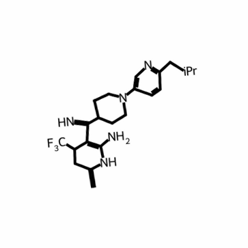 C=C1CC(C(F)(F)F)C(C(=N)C2CCN(c3ccc(CC(C)C)nc3)CC2)=C(N)N1